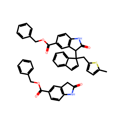 Cc1ccc(CC2(C3C(=O)Nc4ccc(C(=O)OCc5ccccc5)cc43)C=Cc3ccccc32)s1.O=C1Cc2cc(C(=O)OCc3ccccc3)ccc2N1